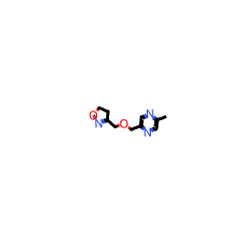 Cc1cnc(COCC2=NOCC2)cn1